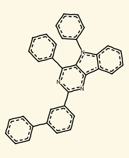 c1ccc(-c2cccc(-c3nc(-c4ccccc4)c4c(n3)c3ccccc3n4-c3ccccc3)c2)cc1